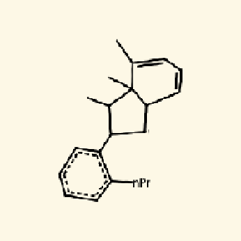 CCCc1ccccc1C1[C]C2C=CC=C(C)C2(C)C1C